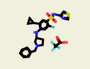 O=C(O)C(F)(F)F.O=S(=O)(Nc1cscn1)c1cc(C2CC2)c(NC2CCN(Cc3ccccc3)C2)cc1F